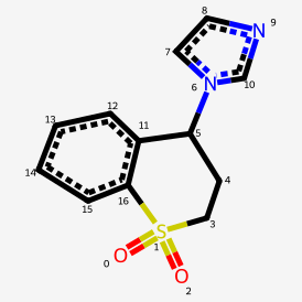 O=S1(=O)CCC(n2ccnc2)c2ccccc21